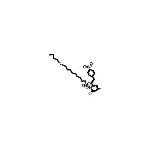 CCCCCCCCCCCCCCCCS(=O)(=O)On1c(C=Cc2ccc([N+](=O)[O-])cc2)cc(C)cc1=O